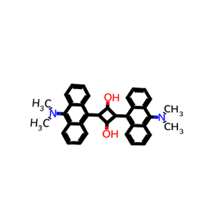 CN(C)c1c2ccccc2c(C2C(O)C(c3c4ccccc4c(N(C)C)c4ccccc34)C2O)c2ccccc12